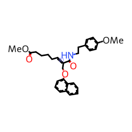 COC(=O)CCCC/C=C(\COc1cccc2ccccc12)C(=O)NCCc1ccc(OC)cc1